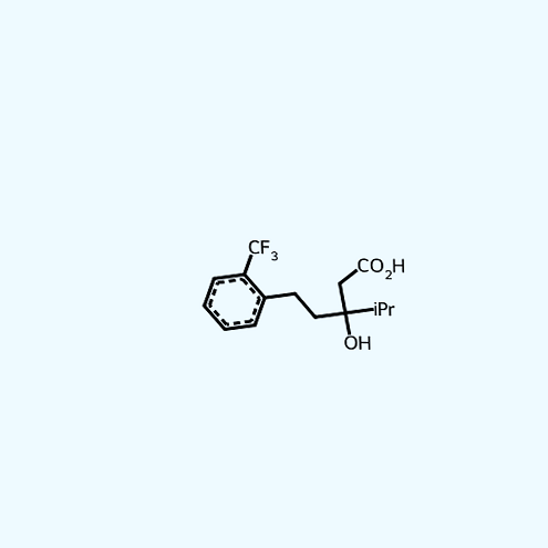 CC(C)C(O)(CCc1ccccc1C(F)(F)F)CC(=O)O